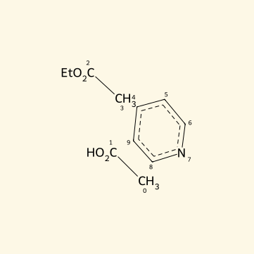 CC(=O)O.CCOC(C)=O.c1ccncc1